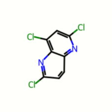 Clc1cc(Cl)c2nc(Cl)ccc2n1